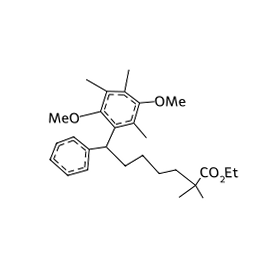 CCOC(=O)C(C)(C)CCCCC(c1ccccc1)c1c(C)c(OC)c(C)c(C)c1OC